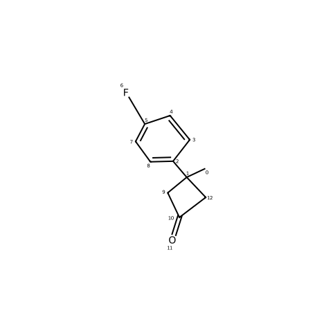 CC1(c2ccc(F)cc2)CC(=O)C1